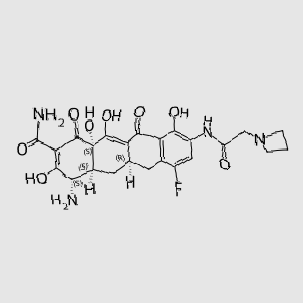 NC(=O)C1=C(O)[C@@H](N)[C@@H]2C[C@@H]3Cc4c(F)cc(NC(=O)CN5CCC5)c(O)c4C(=O)C3=C(O)[C@]2(O)C1=O